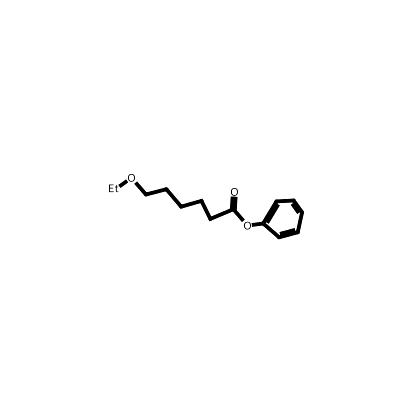 CCOCCCCCC(=O)Oc1ccccc1